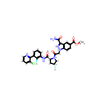 COC(=O)c1ccc2c(c1)c(C(N)=O)nn2CC(=O)N1C[C@H](F)C[C@H]1C(=O)Nc1cccc(-c2ncccc2Cl)c1F